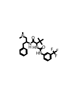 CN(C)CC(Cc1ccccc1)NC(=O)C(NC(=O)Nc1cccc(C(F)(F)F)c1)C(C)(C)C